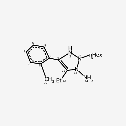 CCCCCCN1NC(c2ccccc2C)=C(CC)N1N